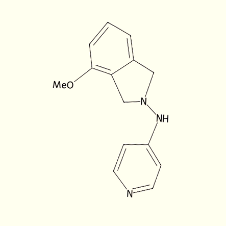 COc1cccc2c1CN(Nc1ccncc1)C2